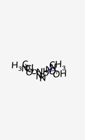 Cc1ccc(Oc2ccc(Nc3ncnc4ccc(/N=C5\OC(CO)CN5C)cc34)cc2Cl)cn1